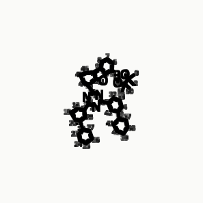 CC1(C)OB(c2cccc3c2oc2c(-c4nc(-c5cccc(-c6ccccc6)c5)nc(-c5cccc(-c6ccccc6)c5)n4)cccc23)OC1(C)C